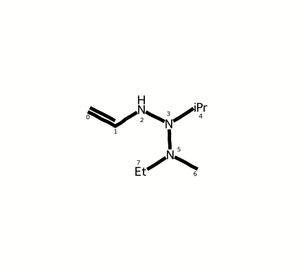 C=CNN(C(C)C)N(C)CC